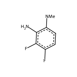 CNc1ccc(F)c(F)c1N